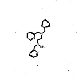 NN(CCN(Cc1ccccn1)Cc1ccccn1)Cc1ccccn1